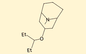 CCC(CC)OC1CC2CCCC(C1)N2C